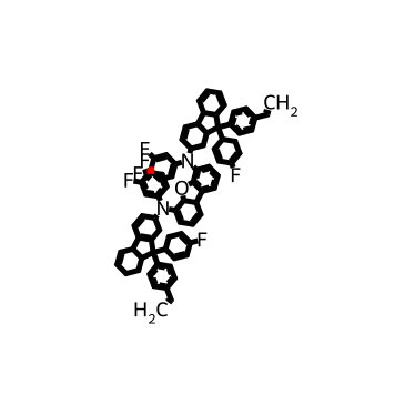 C=Cc1ccc(C2(C3C=CC(F)=CC3)C3=C(C=CC(N(C4=CC=CC5c6cccc(N(C7=CCC(F)C(F)=C7)C7C=CC8C9C=CC=CC9C(c9ccc(C=C)cc9)(C9C=CC(F)=CC9)C8C7)c6OC45)c4ccc(F)c(F)c4)C3)C3C=CCCC32)cc1